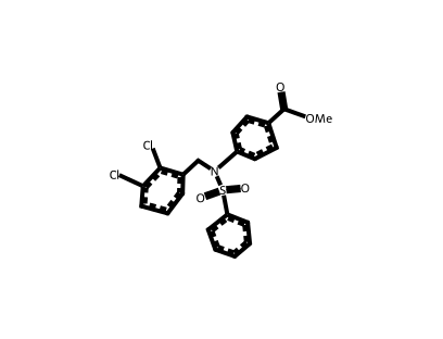 COC(=O)c1ccc(N(Cc2cccc(Cl)c2Cl)S(=O)(=O)c2ccccc2)cc1